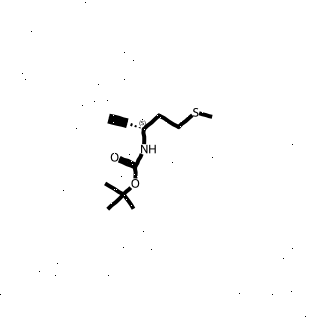 C#C[C@H](CCSC)NC(=O)OC(C)(C)C